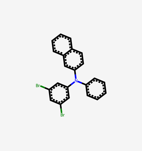 Brc1cc(Br)cc(N(c2ccccc2)c2ccc3ccccc3c2)c1